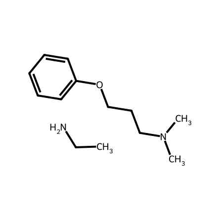 CCN.CN(C)CCCOc1ccccc1